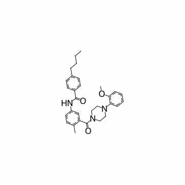 CCCCc1ccc(C(=O)Nc2ccc(C)c(C(=O)N3CCN(c4ccccc4OC)CC3)c2)cc1